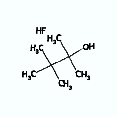 CC(C)(C)C(C)(C)O.F